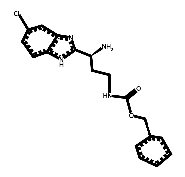 N[C@@H](CCNC(=O)OCc1ccccc1)c1nc2cc(Cl)ccc2[nH]1